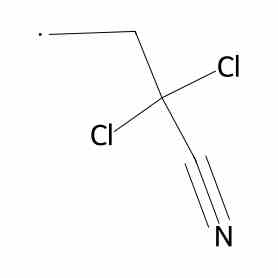 [CH2]CC(Cl)(Cl)C#N